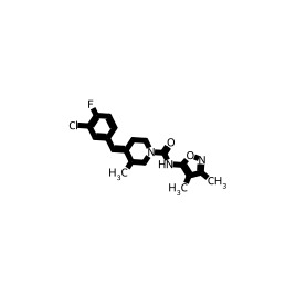 Cc1noc(NC(=O)N2CC/C(=C\c3ccc(F)c(Cl)c3)C(C)C2)c1C